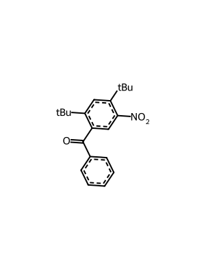 CC(C)(C)c1cc(C(C)(C)C)c([N+](=O)[O-])cc1C(=O)c1ccccc1